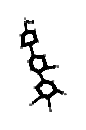 CCCCCc1ccc(-c2ccc(-c3cc(F)c(I)c(F)c3)c(F)c2)cc1